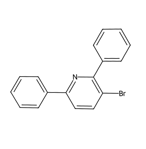 Brc1ccc(-c2ccccc2)nc1-c1ccccc1